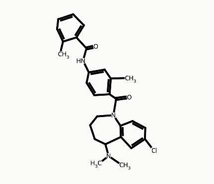 Cc1ccccc1C(=O)Nc1ccc(C(=O)N2CCCC(N(C)C)c3cc(Cl)ccc32)c(C)c1